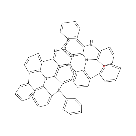 B1C2=C(CCC=C2)N(c2c(-c3ccccc3)cccc2-c2nc(-c3ccccc3)nc(-c3cccc(-c4ccccc4)c3N3c4ccccc4B(c4ccccc4)c4ccccc43)n2)c2ccccc21